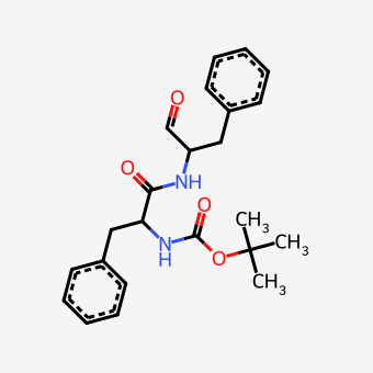 CC(C)(C)OC(=O)NC(Cc1ccccc1)C(=O)NC(C=O)Cc1ccccc1